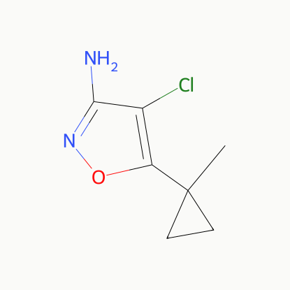 CC1(c2onc(N)c2Cl)CC1